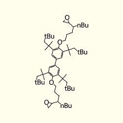 CCCCC(CCCOc1c(C(C)(C)CC(C)(C)C)cc(-c2cc(C(C)(C)CC(C)(C)C)c(OCCCC(CCCC)C3CO3)c(C(C)(C)CC(C)(C)C)c2)cc1C(C)(C)CC(C)(C)C)C1CO1